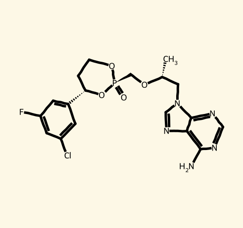 C[C@H](Cn1cnc2c(N)ncnc21)OC[P@]1(=O)OCC[C@@H](c2cc(F)cc(Cl)c2)O1